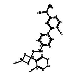 NC(=O)c1ccc(F)c(-c2cnc(NCC3(C4=NCCC=C4F)CC(F)C3)nc2)c1